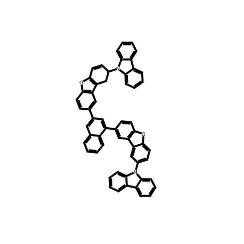 C1=CC(n2c3ccccc3c3ccccc32)Cc2c1oc1ccc(-c3cc(-c4ccc5oc6ccc(-n7c8ccccc8c8ccccc87)cc6c5c4)c4ccccc4c3)cc21